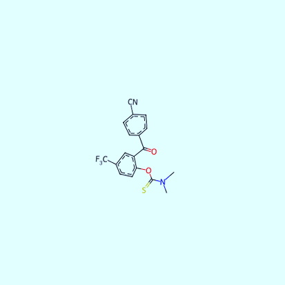 CN(C)C(=S)Oc1ccc(C(F)(F)F)cc1C(=O)c1ccc(C#N)cc1